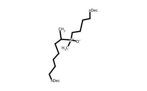 CCCCCCCCCCCCCCCC(C)[N+](C)([O-])CCCCCCCCCCCCCC